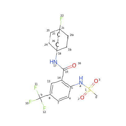 CS(=O)(=O)Nc1ccc(C(F)(F)F)cc1C(=O)NC12CCC(F)(CC1)CC2